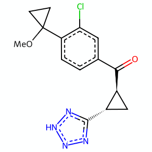 COC1(c2ccc(C(=O)[C@H]3C[C@@H]3c3nn[nH]n3)cc2Cl)CC1